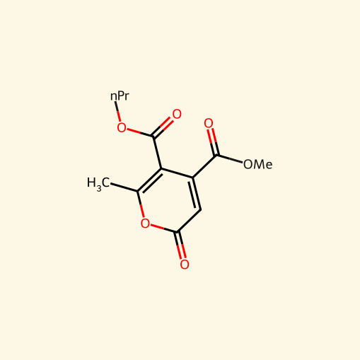 CCCOC(=O)c1c(C(=O)OC)cc(=O)oc1C